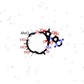 CO[C@H]1/C=C/O[C@@]2(C)Oc3c(C)c(O)c4c(=O)c(c5oc6c7c(cc(O)c6nc-5c4c3C2=O)N(C)CCN7C)NC(=O)/C(C)=C\C=C\[C@H](C)[C@H](O)[C@@H](C)[C@@H](O)[C@@H](C)[C@H](O)C1